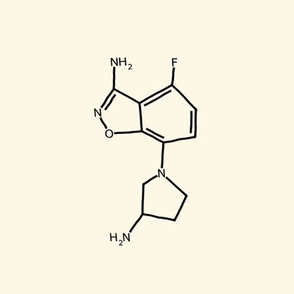 Nc1noc2c(N3CCC(N)C3)ccc(F)c12